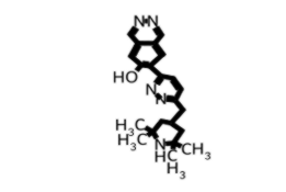 CC1(C)CC(Cc2ccc(-c3cc4cnncc4cc3O)nn2)CC(C)(C)N1